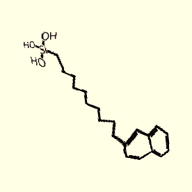 O[Si](O)(O)CCCCCCCCCCc1ccc2ccccc2c1